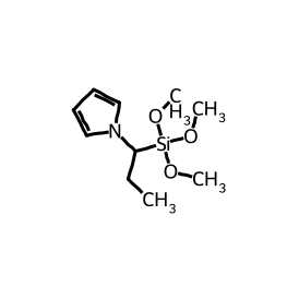 CCC(n1cccc1)[Si](OC)(OC)OC